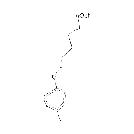 CCCCCCCCCCCCCOc1ccc(C)cc1